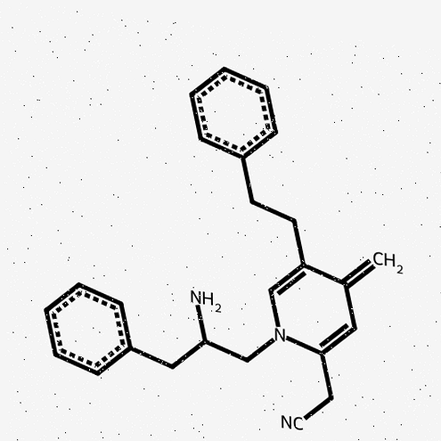 C=C1C=C(CC#N)N(CC(N)Cc2ccccc2)C=C1CCc1ccccc1